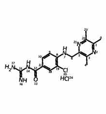 Cc1nc(C)c(CNc2ccc(C(=O)NC(=N)N)cc2Cl)nc1C.Cl